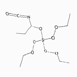 CCOO[Si](OOCC)(OOCC)OC(CC)N=C=O